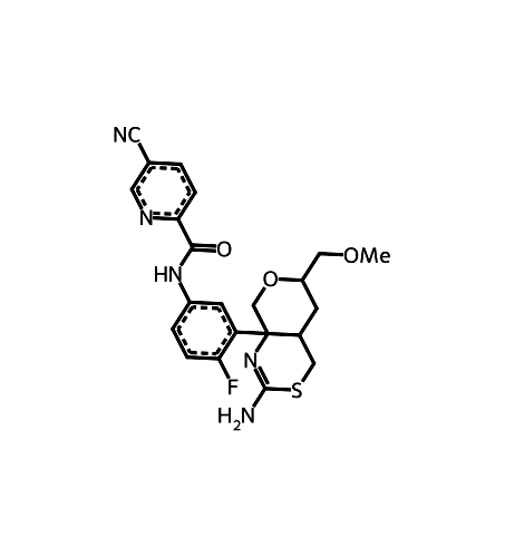 COCC1CC2CSC(N)=NC2(c2cc(NC(=O)c3ccc(C#N)cn3)ccc2F)CO1